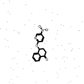 O=C1CCC(Oc2ccc([N+](=O)[O-])cn2)c2ccccc21